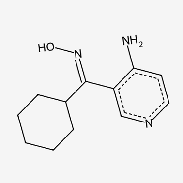 Nc1ccncc1/C(=N/O)C1CCCCC1